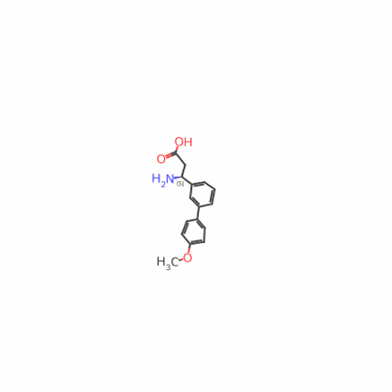 COc1ccc(-c2cccc([C@@H](N)CC(=O)O)c2)cc1